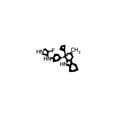 C[C@@H]1Cc2c([nH]c3ccccc23)[C@@H](c2ccc(N[C@@H]3CNC[C@H]3F)cc2)N1C12CC(C1)C2